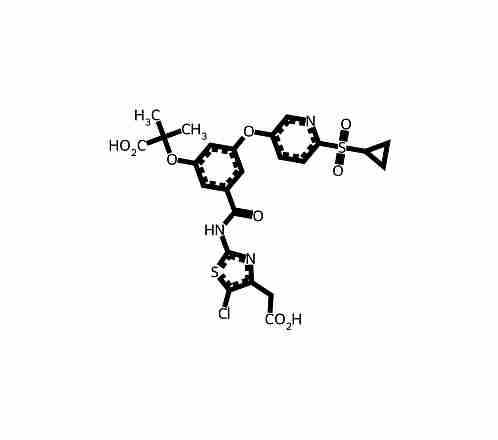 CC(C)(Oc1cc(Oc2ccc(S(=O)(=O)C3CC3)nc2)cc(C(=O)Nc2nc(CC(=O)O)c(Cl)s2)c1)C(=O)O